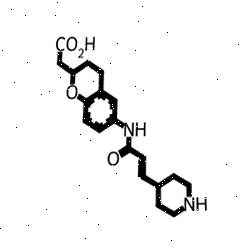 O=C(O)CC1CCc2cc(NC(=O)/C=C/C3CCNCC3)ccc2O1